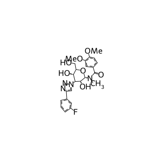 COc1ccc(C(=O)N(C)[C@@H]2OC(CO)[C@H](O)C(n3cc(-c4cccc(F)c4)nn3)[C@@H]2O)cc1OC